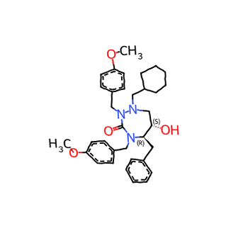 COc1ccc(CN2C(=O)N(Cc3ccc(OC)cc3)N(CC3CCCCC3)C[C@H](O)[C@H]2Cc2ccccc2)cc1